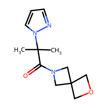 CC(C)(C(=O)N1CC2(COC2)C1)n1c[c]cn1